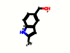 CC(C)c1cc2cc(CO)ccc2[nH]1